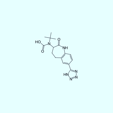 CC(C)(C)N(C(=O)O)C1CCc2cc(-c3nnn[nH]3)ccc2NC1=O